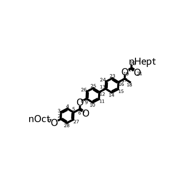 CCCCCCCCOc1ccc(C(=O)Oc2ccc(-c3ccc(C(C)OC(=O)CCCCCCC)cc3)cc2)cc1